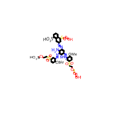 COc1ccc(S(=O)(=O)CCOSOOO)cc1/N=N/c1cc(/N=N/c2cc(SOOO)c3cccc(S(=O)(=O)O)c3c2)c(N)c(/N=N/c2cc(S(=O)(=O)CCOS(=O)(=O)O)ccc2OC)c1N